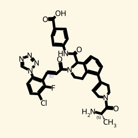 C[C@H](N)C(=O)N1CC=C(c2cccc3c2CCN(C(=O)/C=C/c2c(-n4cnnn4)ccc(Cl)c2F)C3C(=O)Nc2ccc(C(=O)O)cc2)CC1